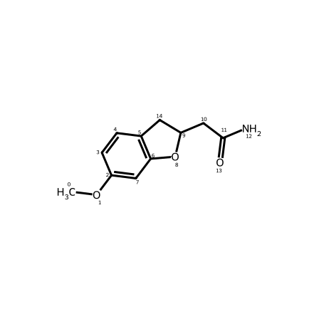 COc1ccc2c(c1)OC(CC(N)=O)C2